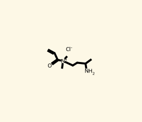 C=CC(=O)[N+](C)(C)CCC(C)N.[Cl-]